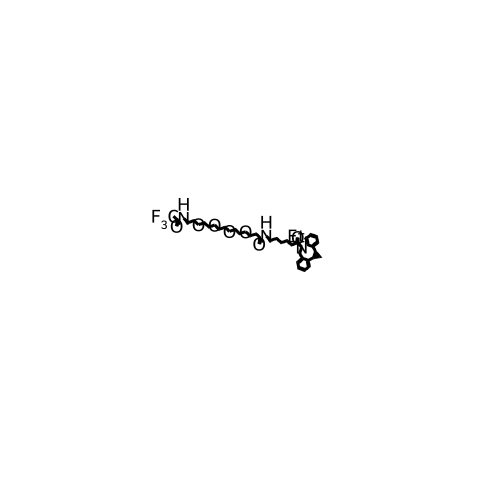 CCc1cccc2c1N(C(=O)CCCCCNC(=O)CCOCCOCCOCCOCCNC(=O)C(F)(F)F)Cc1ccccc1C1=C2C1